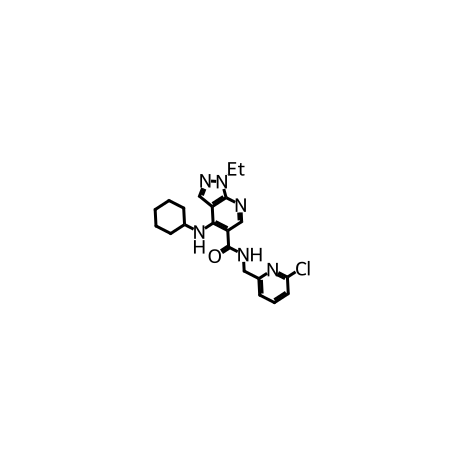 CCn1ncc2c(NC3CCCCC3)c(C(=O)NCc3cccc(Cl)n3)cnc21